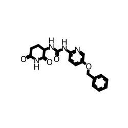 O=C1CCC(NC(=O)Nc2ccc(OCc3ccccc3)cn2)C(=O)N1